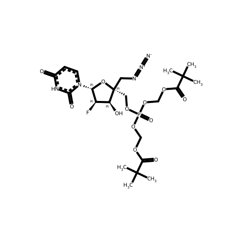 CC(C)(C)C(=O)OCOP(=O)(OCOC(=O)C(C)(C)C)OC[C@@]1(CN=[N+]=[N-])O[C@@H](n2ccc(=O)[nH]c2=O)[C@H](F)[C@@H]1O